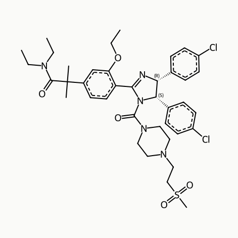 CCOc1cc(C(C)(C)C(=O)N(CC)CC)ccc1C1=N[C@H](c2ccc(Cl)cc2)[C@H](c2ccc(Cl)cc2)N1C(=O)N1CCN(CCS(C)(=O)=O)CC1